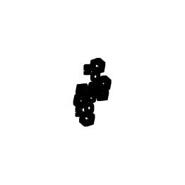 S=C1CC=CC=C1Oc1ccccc1[O][Zr]([O]c1ccccc1OC1=CC=CCC1=S)([C]1=CC=CC1)[C]1=CC=CC1